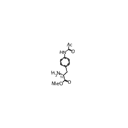 COC(=O)[C@@H](N)Cc1ccc(NC(=O)C(C)=O)cc1